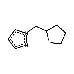 c1cnn(CC2CCCO2)c1